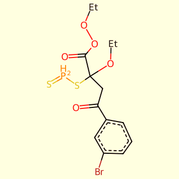 CCOOC(=O)C(CC(=O)c1cccc(Br)c1)(OCC)S[PH2]=S